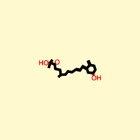 C=C1CCC(O)CC1=CC=CCCCC(C)CCC(=O)C(C)(C)O